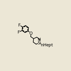 CCCCCCC[SiH]1CCC(COc2ccc(F)c(F)c2)CC1